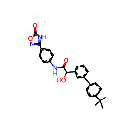 CC(C)(C)c1ccc(-c2cccc(C(O)C(=O)Nc3ccc(-c4noc(=O)[nH]4)cc3)c2)cc1